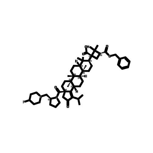 CC(C)C1=C2[C@H]3CC[C@@H]4[C@]5(C)CC[C@H]([C@@]6(C(=O)O)C[C@@H](C(=O)OCc7ccccc7)C6(C)C)C(C)(C)[C@H]5CC[C@@]4(C)[C@]3(C)CC[C@@]2(C(=O)N2CCC[C@H]2CN2CCC(F)CC2)CC1=O